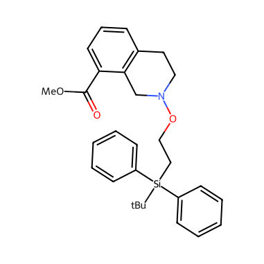 COC(=O)c1cccc2c1CN(OCC[Si](c1ccccc1)(c1ccccc1)C(C)(C)C)CC2